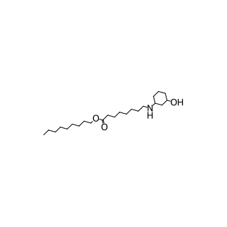 CCCCCCCCCOC(=O)CCCCCCCNC1CCCC(O)C1